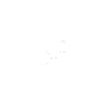 Cc1ccc(C[C@@H](N)C(=O)O)cc1C